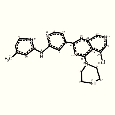 FC(F)(F)c1ccnc(Nc2cc(-c3nc(N4CCNCC4)c4c(Cl)cncc4n3)ccn2)c1